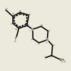 BC(C)CN1CCN(c2ccc(C)cc2F)CC1